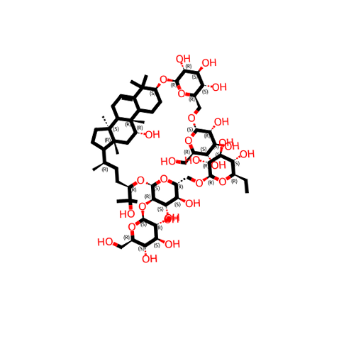 CC[C@H]1O[C@@H](OC[C@H]2O[C@@H](O[C@H](CC[C@@H](C)C3CC[C@@]4(C)C5CC=C6C(CC[C@H](O[C@@H]7O[C@H](CO[C@H]8O[C@H](CO)[C@@H](O)[C@H](O)[C@H]8O)[C@@H](O)[C@H](O)[C@H]7O)C6(C)C)[C@]5(C)[C@H](O)C[C@]34C)C(C)(C)O)[C@H](O[C@@H]3O[C@H](CO)[C@@H](O)[C@H](O)[C@H]3O)[C@@H](O)[C@@H]2O)[C@H](O)[C@@H](O)[C@@H]1O